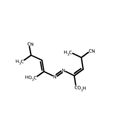 CC(C#N)C=C(N=NC(=CC(C)C#N)C(=O)O)C(=O)O